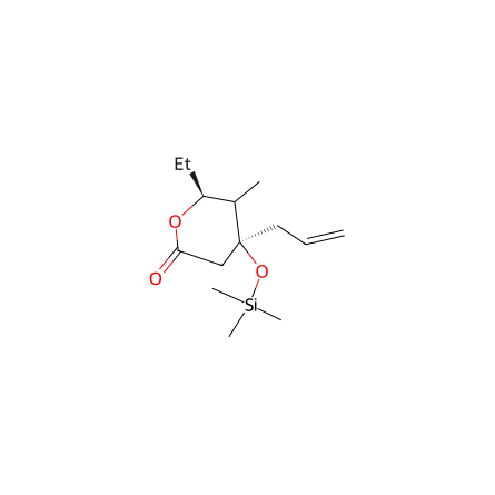 C=CC[C@]1(O[Si](C)(C)C)CC(=O)O[C@@H](CC)C1C